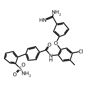 Cc1cc(NC(=O)c2ccc(-c3ccccc3S(N)(=O)=O)cc2)c(Oc2cccc(C(=N)N)c2)cc1Cl